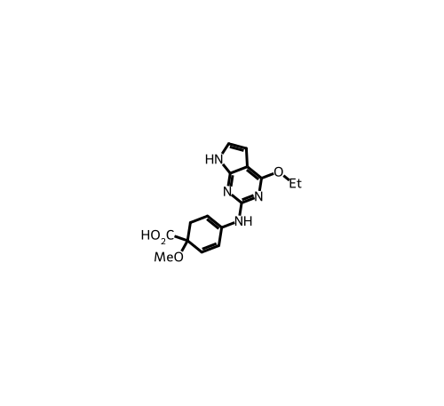 CCOc1nc(NC2=CCC(OC)(C(=O)O)C=C2)nc2[nH]ccc12